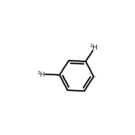 [2H]c1[c]ccc([2H])c1